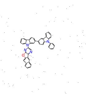 c1ccc(-n2c3ccccc3c3cc(-c4ccc5c6ccccc6n(-c6cnc7c(n6)oc6cc8ccccc8cc67)c5c4)ccc32)cc1